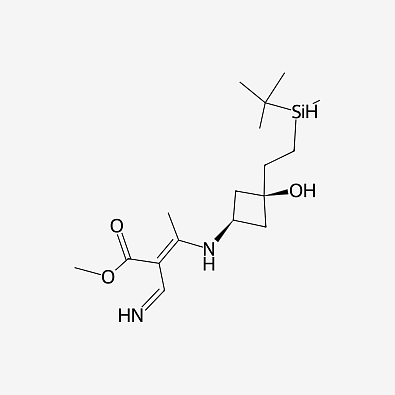 COC(=O)/C(C=N)=C(\C)N[C@H]1C[C@](O)(CC[SiH](C)C(C)(C)C)C1